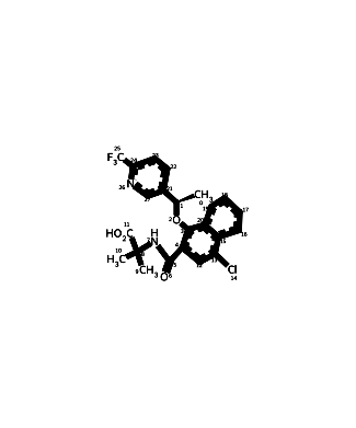 C[C@@H](Oc1c(C(=O)NC(C)(C)C(=O)O)cc(Cl)c2ccccc12)c1ccc(C(F)(F)F)nc1